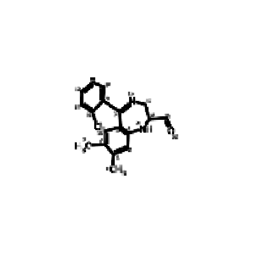 Cc1cc2c(cc1C)C(c1ccccc1Cl)=NCC(C=O)N2